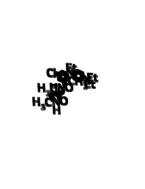 CCN(CC)C1CCC(N(CC)c2cc(Cl)cc(C(=O)NCc3c(C)cc(C)[nH]c3=O)c2C)CC1